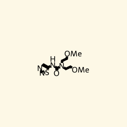 COCCN(CCOC)C(=O)Nc1cnns1